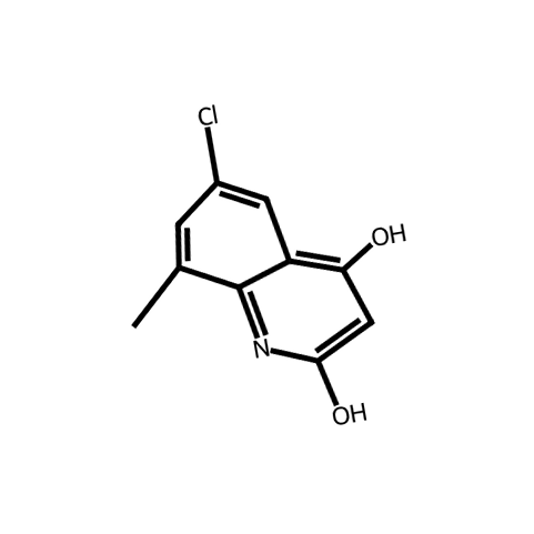 Cc1cc(Cl)cc2c(O)cc(O)nc12